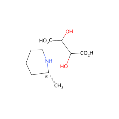 C[C@@H]1CCCCN1.O=C(O)C(O)C(O)C(=O)O